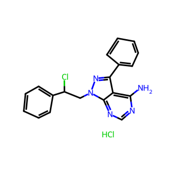 Cl.Nc1ncnc2c1c(-c1ccccc1)nn2CC(Cl)c1ccccc1